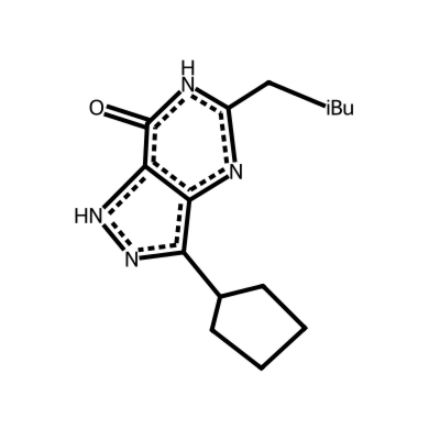 CCC(C)Cc1nc2c(C3CCCC3)n[nH]c2c(=O)[nH]1